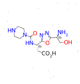 N[C@@H](CO)c1nnc([C@H](CC(=O)O)NC(=O)N2CCNCC2)o1